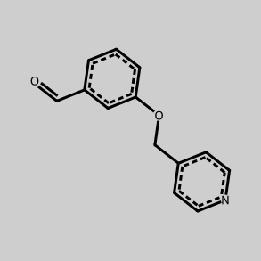 O=Cc1cccc(OCc2ccncc2)c1